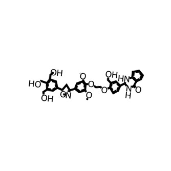 COc1cc(C2=NOC(c3cc(CO)c(CO)c(CO)c3)C2)cc(OC)c1OCCOc1ccc(C2NC(=O)c3ccccc3N2)cc1CO